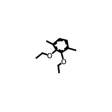 CCOc1c(C)ccc(C)c1OCC